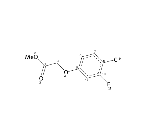 COC(=O)COc1ccc(Cl)c(F)c1